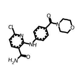 NC(=O)c1ccc(Cl)nc1Nc1ccc(C(=O)N2CCOCC2)cc1